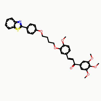 COc1ccc(/C=C/C(=O)c2cc(OC)c(OC)c(OC)c2)cc1OCCCCOc1ccc(-c2nc3ccccc3s2)cc1